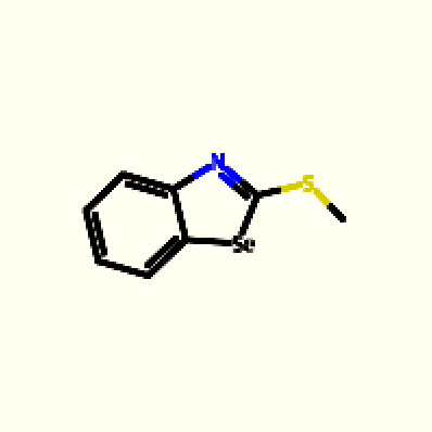 CSc1nc2ccccc2[se]1